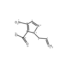 C=CCn1ncc([N+](=O)[O-])c1C(=O)Cl